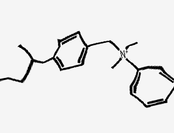 CCC(C)c1ccc(C[N+](C)(C)c2ccccc2)cc1